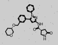 O=C1C[C@H](C(=O)Nc2cc(-c3cccc(CO[C@H]4CCCOC4)c3)n(-c3ccccc3)n2)CN1